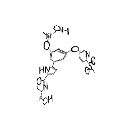 C[C@@H](CO)Oc1cc(Oc2ccc(S(C)(=O)=O)nc2)cc(-c2ccc(C3=NC([C@@H](C)O)CO3)[nH]2)c1